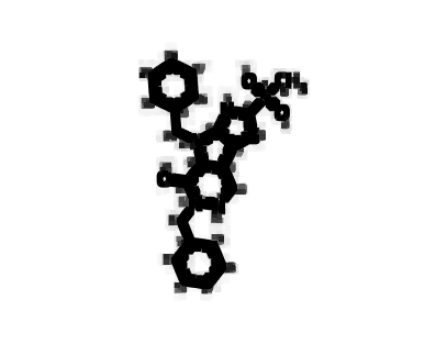 CS(=O)(=O)c1nc2c(s1)c1cnn(Cc3ccccc3)c(=O)c1n2Cc1ccccc1